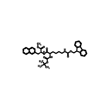 COC(=O)[C@H](Cc1ccc2ccccc2c1)NC(=O)C(CCCCNC(=O)OCC1c2ccccc2-c2ccccc21)NC(=O)OC(C)(C)C